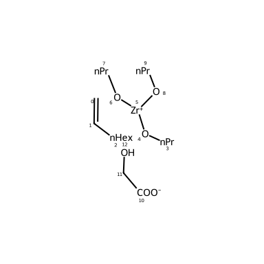 C=CCCCCCC.CCC[O][Zr+]([O]CCC)[O]CCC.O=C([O-])CO